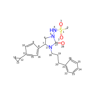 CS(=O)(=O)NN1CC(c2ccc(C3CC3)cc2)N(CCCc2ccccc2)C1=O